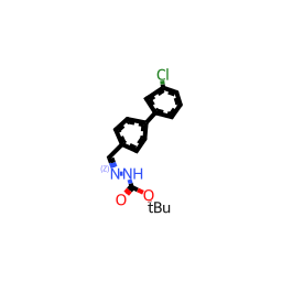 CC(C)(C)OC(=O)N/N=C\c1ccc(-c2cccc(Cl)c2)cc1